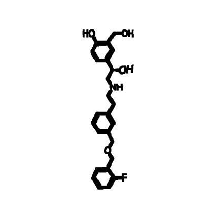 OCc1cc([C@@H](O)CNCCc2cccc(COCc3ccccc3F)c2)ccc1O